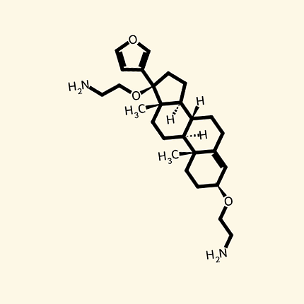 C[C@]12CC[C@H](OCCN)C=C1CC[C@@H]1[C@@H]2CC[C@@]2(C)[C@H]1CC[C@@]2(OCCN)c1ccoc1